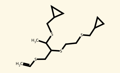 C=CSCC(SCCSCC1CC1)C(C)SCC1CC1